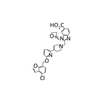 O=C(O)c1ccc2nc(CN3CC=C(c4cccc(OCc5ccc(Cl)c6ccoc56)n4)CC3)n(C[C@@H]3CCO3)c2c1